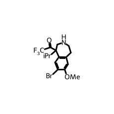 COc1cc2c(cc1Br)C(C(=O)C(F)(F)F)(C(C)C)CNCC2